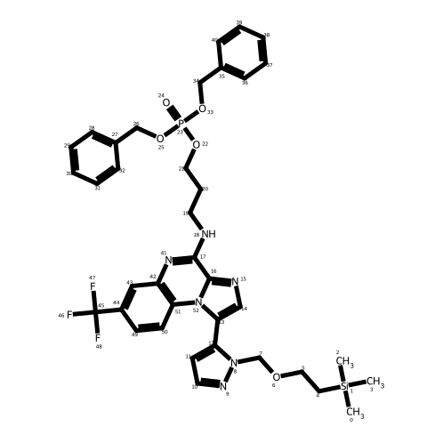 C[Si](C)(C)CCOCn1nccc1-c1cnc2c(NCCCOP(=O)(OCc3ccccc3)OCc3ccccc3)nc3cc(C(F)(F)F)ccc3n12